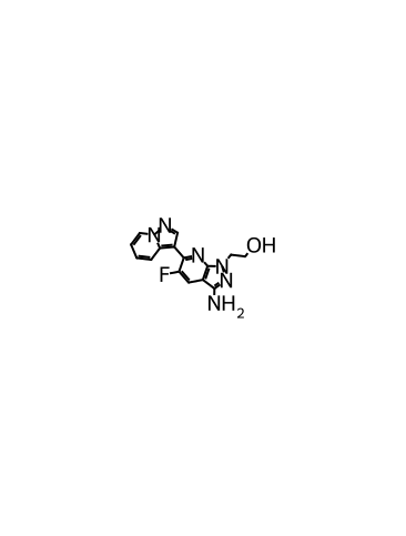 Nc1nn(CCO)c2nc(-c3cnn4ccccc34)c(F)cc12